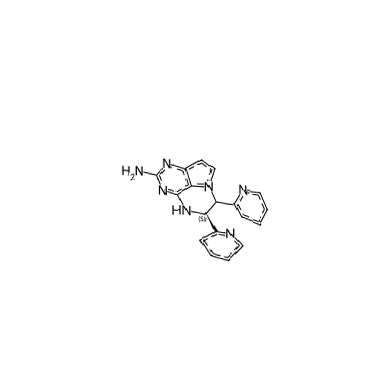 Nc1nc2c3c(ccn3C(c3ccccn3)[C@@H](c3ccccn3)N2)n1